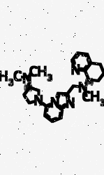 CN(C)[C@@H]1CCN(c2cccc3nc(CN(C)[C@H]4CCCc5cccnc54)cn23)C1